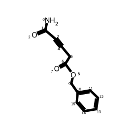 NC(=O)C#CCC(=O)OCc1ccccc1